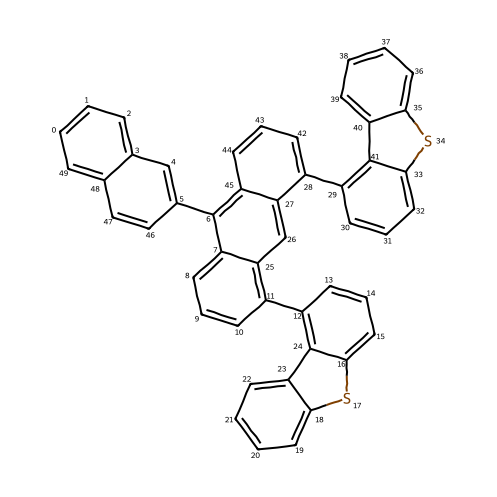 c1ccc2cc(-c3c4cccc(-c5cccc6sc7ccccc7c56)c4cc4c(-c5cccc6sc7ccccc7c56)cccc34)ccc2c1